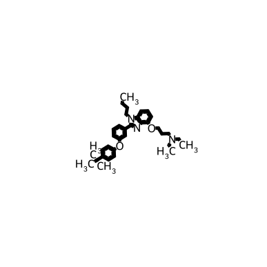 CCCCn1c(-c2cccc(Oc3ccc(C(C)(C)C)cc3)c2)nc2c(OCCCN(CC)CC)cccc21